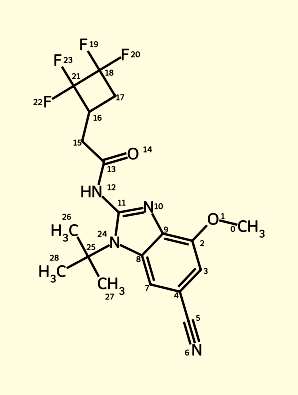 COc1cc(C#N)cc2c1nc(NC(=O)CC1CC(F)(F)C1(F)F)n2C(C)(C)C